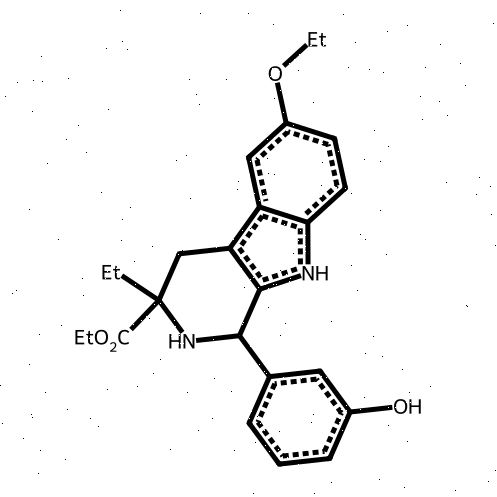 CCOC(=O)C1(CC)Cc2c([nH]c3ccc(OCC)cc23)C(c2cccc(O)c2)N1